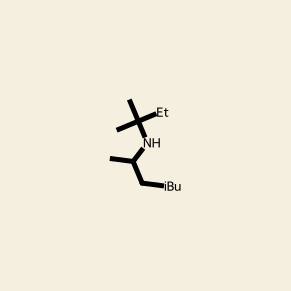 CCC(C)CC(C)NC(C)(C)CC